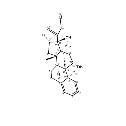 C[C@H]1C[C@H]2[C@@H]3CCC4=CC=C=C[C@]4(C)[C@@]3(F)[C@@H](O)C[C@]2(C)[C@@]1(O)C(=O)CCl